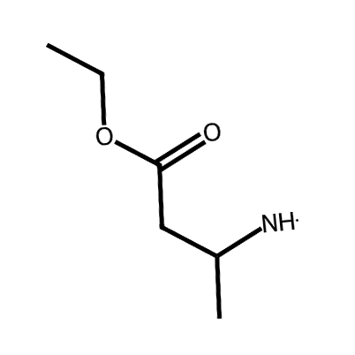 CCOC(=O)CC(C)[NH]